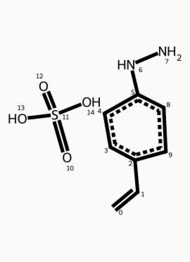 C=Cc1ccc(NN)cc1.O=S(=O)(O)O